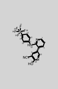 N#Cc1cc(-c2cccnc2Nc2ccc(S(F)(F)(F)(F)F)cc2)cnc1O